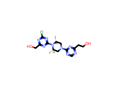 C[C@@H]1CN(c2ncnc(CCO)n2)C[C@H](C)N1c1nc(Cl)nc(CO)n1